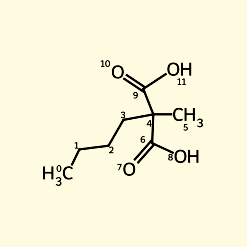 CCCCC(C)(C(=O)O)C(=O)O